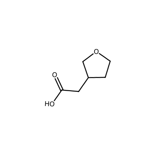 O=C(O)CC1CCOC1